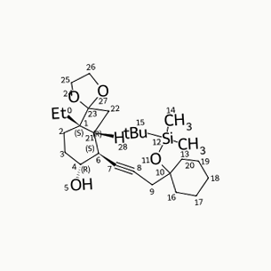 CC[C@]12CC[C@@H](O)[C@H](C#CCC3(O[Si](C)(C)C(C)(C)C)CCCCC3)[C@H]1CC21OCCO1